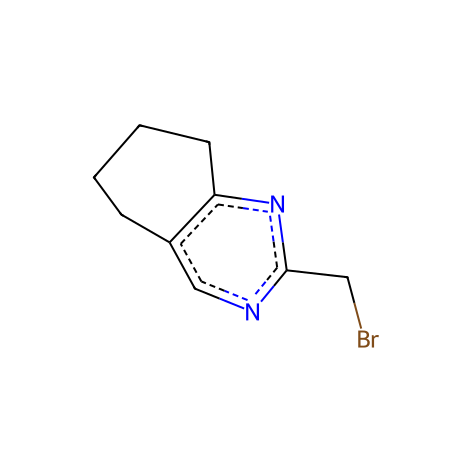 BrCc1ncc2c(n1)CCCC2